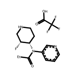 CCC(=O)N(c1cccnc1)[C@H]1CCNC[C@H]1F.O=C(O)C(F)(F)F